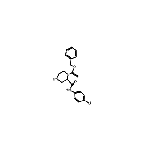 C=C(OCc1ccccc1)N1CCNCC1C(=O)Nc1ccc(Cl)cc1